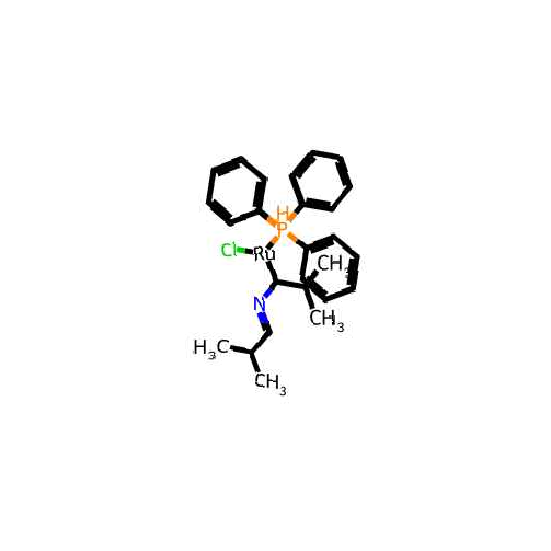 CC(C)C=N[CH](C(C)C)[Ru]([Cl])[PH](c1ccccc1)(c1ccccc1)c1ccccc1